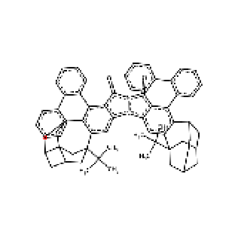 CC(C)(C)C12CC3CC(CC(C3)c3c1cc1c(c3-c3ccccc3-c3ccccc3)c(=O)n3c(=O)c4c(-c5ccccc5-c5ccccc5)c5c(cc4n13)C1(C(C)(C)C)CC3CC4CC5CC43C1)C2